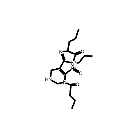 CCCC(=O)N1CNCC2=C1[N+](=O)[N+]1(CCC)C(=O)C(CCC)N=C21